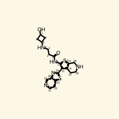 O=C(CCNC1CC(O)C1)Nc1sc2c(c1-c1nc3cnccc3s1)CCNC2